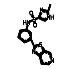 Cc1nc(S(=O)(=O)Nc2cccc(-c3nc4ccncc4s3)c2)c[nH]1